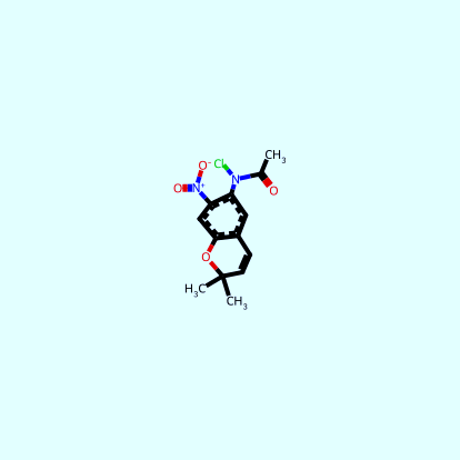 CC(=O)N(Cl)c1cc2c(cc1[N+](=O)[O-])OC(C)(C)C=C2